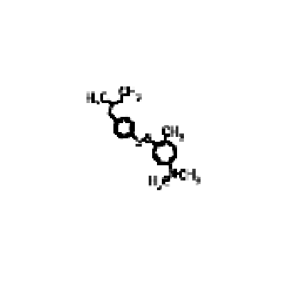 CCC(C)Cc1ccc(SSC2=C(C)CC=C(N(C)C)C=C2)cc1